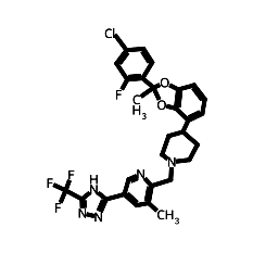 Cc1cc(-c2nnc(C(F)(F)F)[nH]2)cnc1CN1CCC(c2cccc3c2OC(C)(c2ccc(Cl)cc2F)O3)CC1